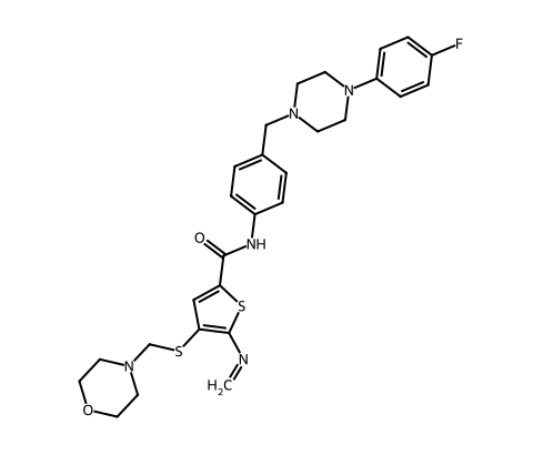 C=Nc1sc(C(=O)Nc2ccc(CN3CCN(c4ccc(F)cc4)CC3)cc2)cc1SCN1CCOCC1